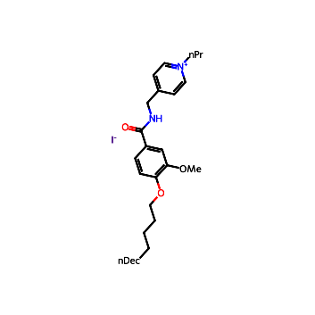 CCCCCCCCCCCCCCOc1ccc(C(=O)NCc2cc[n+](CCC)cc2)cc1OC.[I-]